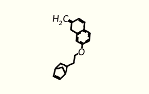 C=C1C=Cc2ccc(OCCC3CC4C=CC3C4)cc2C1